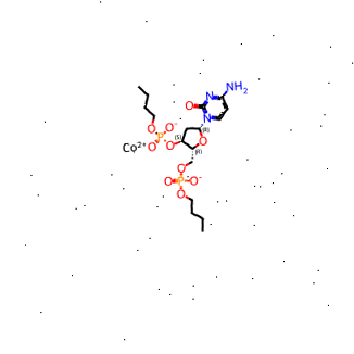 CCCCOP(=O)([O-])OC[C@H]1O[C@@H](n2ccc(N)nc2=O)C[C@@H]1OP(=O)([O-])OCCCC.[Co+2]